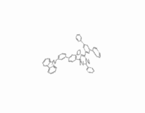 c1ccc(-c2cc(-c3ccccc3)cc(-c3nc(-c4ccccc4)nc4c3oc3cc(-c5cccc(-n6c7ccccc7c7ccccc76)c5)ccc34)c2)cc1